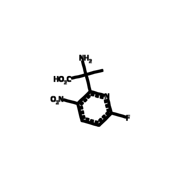 CC(N)(C(=O)O)c1nc(F)ccc1[N+](=O)[O-]